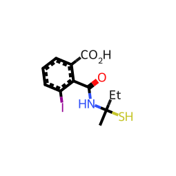 CCC(C)(S)NC(=O)c1c(I)cccc1C(=O)O